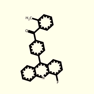 Cc1ccccc1C(=O)c1ccc(-c2c3ccccc3nc3c(F)cccc23)cc1